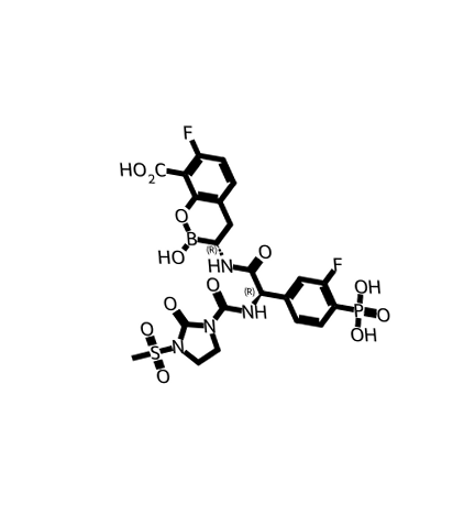 CS(=O)(=O)N1CCN(C(=O)N[C@@H](C(=O)N[C@H]2Cc3ccc(F)c(C(=O)O)c3OB2O)c2ccc(P(=O)(O)O)c(F)c2)C1=O